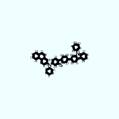 c1ccc(N(c2ccc3c(ccc4ccccc43)c2)c2ccc3c(c2)sc2cc(-c4ccc5c6ccccc6n(-c6ccccc6)c5c4)ccc23)cc1